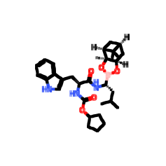 CC(C)C[C@H](NC(=O)[C@H](Cc1c[nH]c2ccccc12)NC(=O)OC1CCCC1)B1O[C@@H]2C[C@@H]3C[C@@H](C3(C)C)[C@]2(C)O1